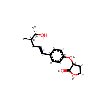 C[C@H](O)[C@H](C)C/C=C/c1ccc(OC2CCOC2=O)cc1